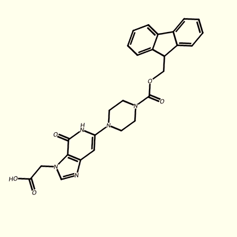 O=C(O)Cn1cnc2cc(N3CCN(C(=O)OCC4c5ccccc5-c5ccccc54)CC3)[nH]c(=O)c21